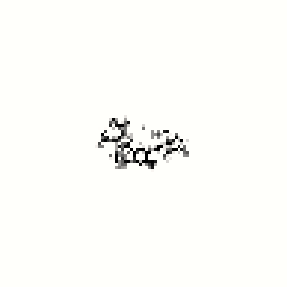 CN1CC[C@](O)(C#Cc2cc3c(cc2F)C2=CC(C2)n2c-3nc(C(N)=O)c2C2CC2)C1=O